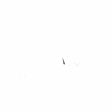 C[N+]1(C)CC[C@@]23c4c5ccc(O)c4OC2C(=O)CCC3C1C5